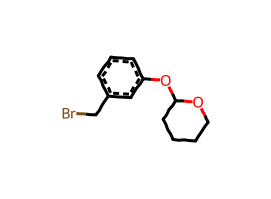 BrCc1cccc(OC2CCCCO2)c1